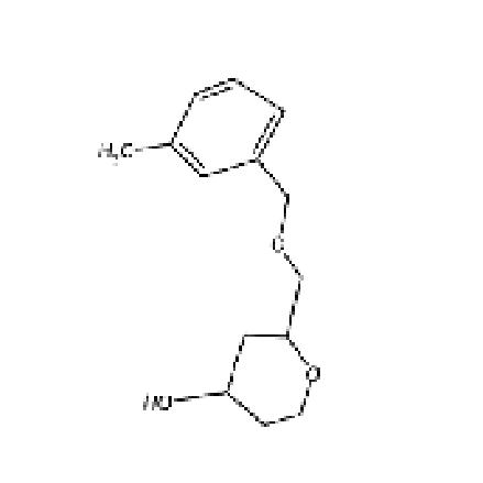 Cc1cccc(COCC2CC(O)CCO2)c1